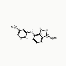 COc1cc(Oc2cccc3c2OC[C@H]3OC)ccn1